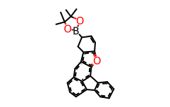 CC1(C)OB(C2C=Cc3oc4c5c6c(cccc6cc4c3C2)-c2ccccc2-5)OC1(C)C